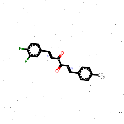 O=C(/C=C/c1ccc(C(F)(F)F)cc1)C(=O)/C=C/c1ccc(F)c(F)c1